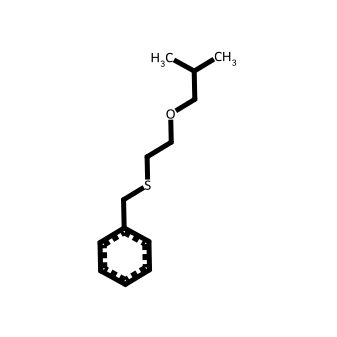 CC(C)COCCSCc1ccccc1